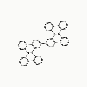 c1ccc2c(c1)B1c3cc(-c4ccc5c(c4)B4c6ccccc6-c6ccccc6N4c4ccccc4-5)ccc3-c3ccccc3N1c1ccccc1-2